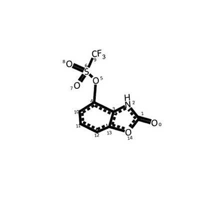 O=c1[nH]c2c(OS(=O)(=O)C(F)(F)F)cccc2o1